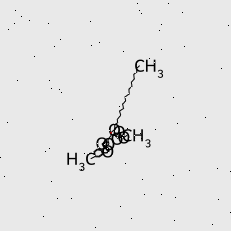 CCCCCCCCCCCCCCCCCCOCC(COS(=O)(=O)c1ccc(C)cc1)OC(=O)OC